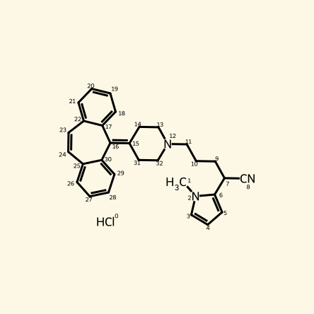 Cl.Cn1cccc1C(C#N)CCCN1CCC(=C2c3ccccc3C=Cc3ccccc32)CC1